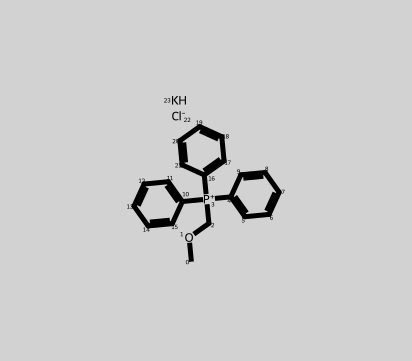 COC[P+](c1ccccc1)(c1ccccc1)c1ccccc1.[Cl-].[KH]